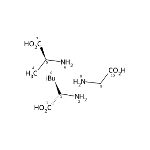 CC[C@H](C)[C@H](N)C(=O)O.C[C@H](N)C(=O)O.NCC(=O)O